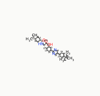 CC(C)c1ccc(C(=O)N[C@@H](Cc2ccc(-c3ncc(-c4ccc(C(C)(C)C)cc4)cn3)cc2)C(=O)O)cc1